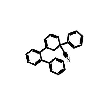 N#CC1(c2ccccc2)C=CC=C(c2ccccc2-c2ccccc2)C1